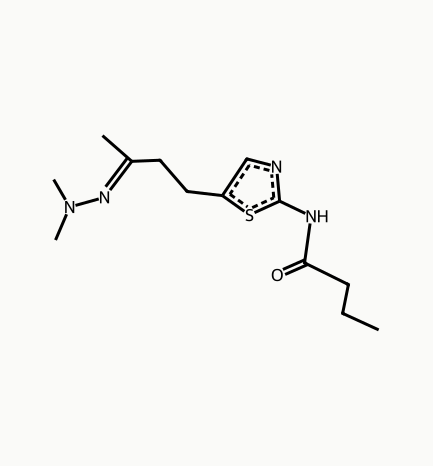 CCCC(=O)Nc1ncc(CCC(C)=NN(C)C)s1